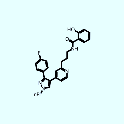 CCCn1cc(-c2ccnc(CCCNC(=O)c3ccccc3O)c2)c(-c2ccc(F)cc2)n1